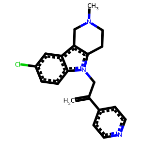 C=C(Cn1c2c(c3cc(Cl)ccc31)CN(C)CC2)c1ccncc1